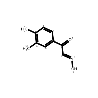 Cc1ccc(C(=O)C=NO)cc1C